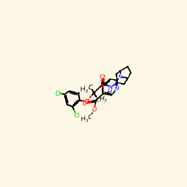 COC(=O)c1ccc(N2C3CCC2CC(NC(=O)C(C)(C)Oc2ccc(Cl)cc2Cl)C3)nc1